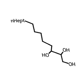 CCCCCCCCCCCCC(O)C(O)CO